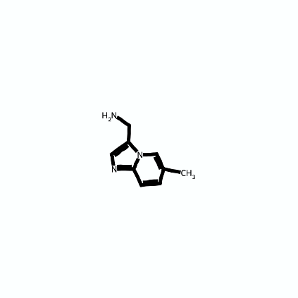 Cc1ccc2ncc(CN)n2c1